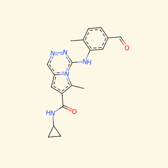 Cc1ccc(C=O)cc1Nc1nncc2cc(C(=O)NC3CC3)c(C)n12